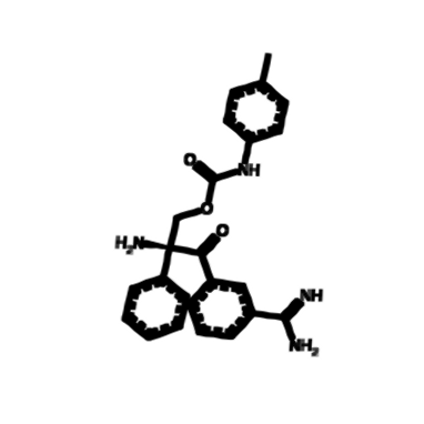 Cc1ccc(NC(=O)OC[C@](N)(C(=O)c2cccc(C(=N)N)c2)c2ccccc2)cc1